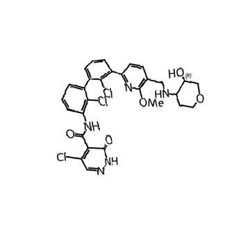 COc1nc(-c2cccc(-c3cccc(NC(=O)c4c(Cl)cn[nH]c4=O)c3Cl)c2Cl)ccc1CNC1CCOC[C@@H]1O